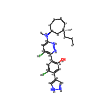 CCC[C@]1(C)CCCC[C@H](N(C)c2cc(F)c(-c3cc(F)c(-c4cn[nH]c4)cc3O)nn2)C1